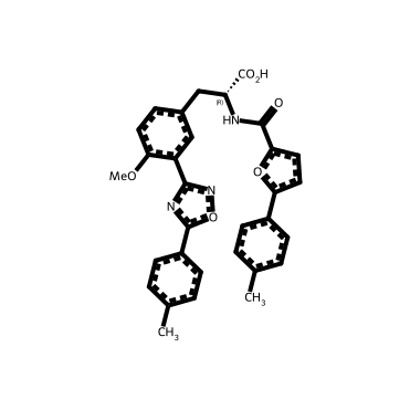 COc1ccc(C[C@@H](NC(=O)c2ccc(-c3ccc(C)cc3)o2)C(=O)O)cc1-c1noc(-c2ccc(C)cc2)n1